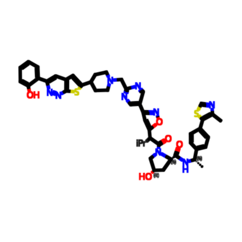 Cc1ncsc1-c1ccc([C@H](C)NC(=O)[C@@H]2C[C@@H](O)CN2C(=O)C(c2cc(-c3cnc(CN4CCC(c5cc6cc(-c7ccccc7O)nnc6s5)CC4)nc3)no2)C(C)C)cc1